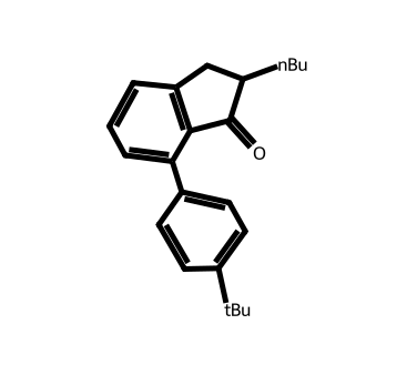 CCCCC1Cc2cccc(-c3ccc(C(C)(C)C)cc3)c2C1=O